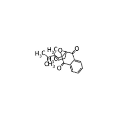 C/C(=C\CC12OC1(C)C(=O)c1ccccc1C2=O)C(C)C